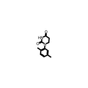 Cc1ccc(C)c(N2CCC(=O)NC2=O)c1